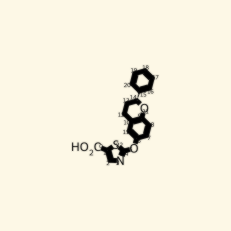 O=C(O)c1cnc(Oc2ccc3c(c2)CC[C@H](c2ccccc2)O3)s1